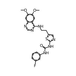 COc1cc2ncnc(NCCc3cnc(NC(=O)Nc4cccc(F)c4)s3)c2cc1OC